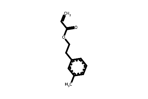 C=CC(=O)OCCc1cccc(C)c1